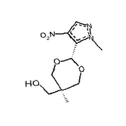 Cn1ncc([N+](=O)[O-])c1[C@H]1OC[C@](C)(CO)CO1